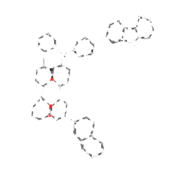 c1ccc(-c2ccc(-c3ccccc3N(c3ccc(-c4cccc(-c5ccc6ccccc6c5)c4)cc3)c3ccc(-c4ccc5c(c4)sc4ccccc45)cc3)cc2)cc1